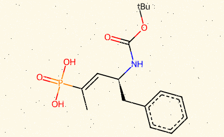 C/C(=C\[C@H](Cc1ccccc1)NC(=O)OC(C)(C)C)P(=O)(O)O